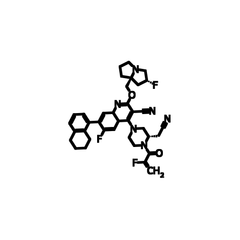 C=C(F)C(=O)N1CCN(C2=C(C#N)C(OC[C@@]34CCCN3C[C@H](F)C4)=NC3C=C(c4cccc5c4CCCC5)C(F)=CC23)C[C@@H]1CC#N